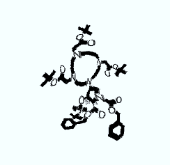 CC(C)(C)OC(=O)CN1CCN(CC(=O)OC(C)(C)C)CCN([C@@H]2CN(C(=O)OCc3ccccc3)[C@H](C(=O)OCc3ccccc3)[C@H]2O[Si](C)(C)C(C)(C)C)CCN(CC(=O)OC(C)(C)C)CC1